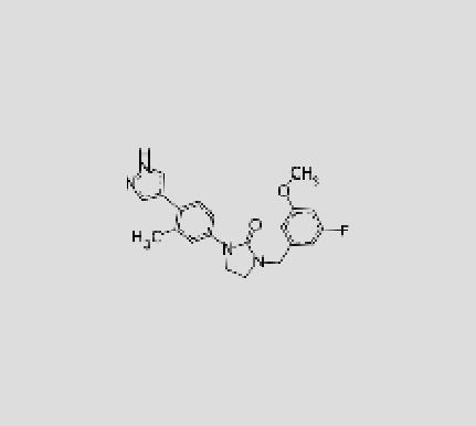 COc1cc(F)cc(CN2CCN(c3ccc(-c4cn[nH]c4)c(C)c3)C2=O)c1